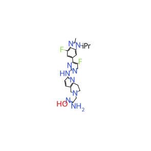 Cc1nc2c(F)cc(-c3nc(Nc4ccc5c(n4)CCN(CC(N)=NO)C5)ncc3F)cc2n1C(C)C